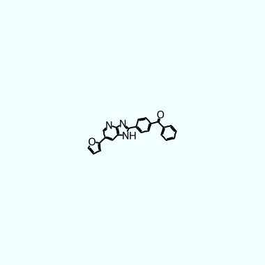 O=C(c1ccccc1)c1ccc(-c2nc3ncc(-c4ccco4)cc3[nH]2)cc1